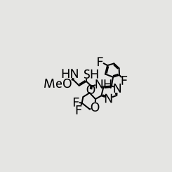 COC(=N)/C=C(\S)C(=O)Nc1c(-c2cc(F)ccc2F)ncnc1C1CCC(F)(F)CO1